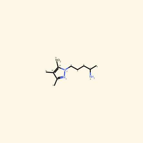 Cc1nn(CCCC(C)N)c([N+](=O)[O-])c1C